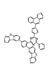 c1ccc(-c2nc(-c3ccc(-c4cc5ccccc5c5ccccc45)cc3)nc(-c3cc(-c4ccc5sc6ccccc6c5c4)ccc3-c3ccc4sc5ccccc5c4c3)n2)cc1